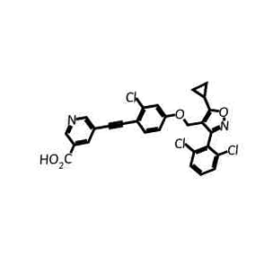 O=C(O)c1cncc(C#Cc2ccc(OCc3c(-c4c(Cl)cccc4Cl)noc3C3CC3)cc2Cl)c1